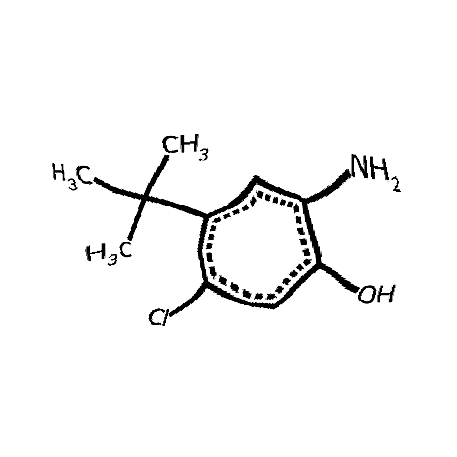 CC(C)(C)c1cc(N)c(O)cc1Cl